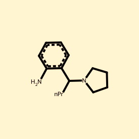 [CH2]CCC(c1ccccc1N)N1CCCC1